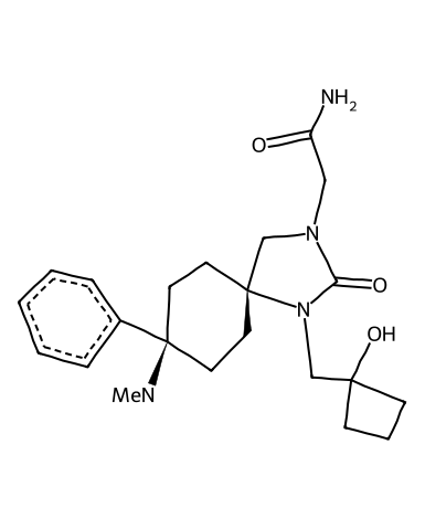 CN[C@]1(c2ccccc2)CC[C@@]2(CC1)CN(CC(N)=O)C(=O)N2CC1(O)CCC1